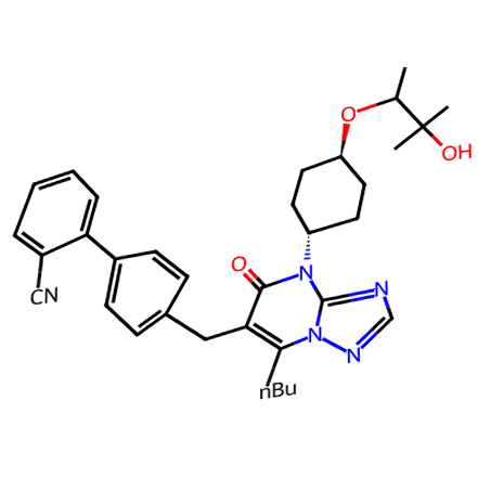 CCCCc1c(Cc2ccc(-c3ccccc3C#N)cc2)c(=O)n([C@H]2CC[C@H](OC(C)C(C)(C)O)CC2)c2ncnn12